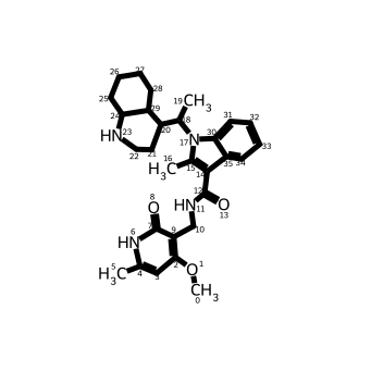 COc1cc(C)[nH]c(=O)c1CNC(=O)c1c(C)n(C(C)C2CCNC3CCCCC32)c2ccccc12